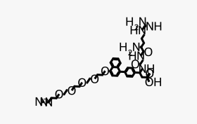 [N-]=[N+]=NCCOCCOCCOCCOCCOc1ccc(-c2ccc(C(CC(=O)O)NC(=O)CNC(=O)C(N)CCCNC(=N)N)cc2)c2ccccc12